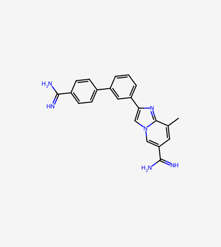 Cc1cc(C(=N)N)cn2cc(-c3cccc(-c4ccc(C(=N)N)cc4)c3)nc12